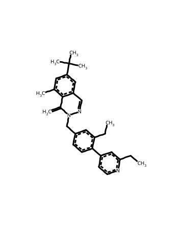 C=C1c2c(C)cc(C(C)(C)C)cc2C=NN1Cc1ccc(-c2ccnc(CC)c2)c(CC)c1